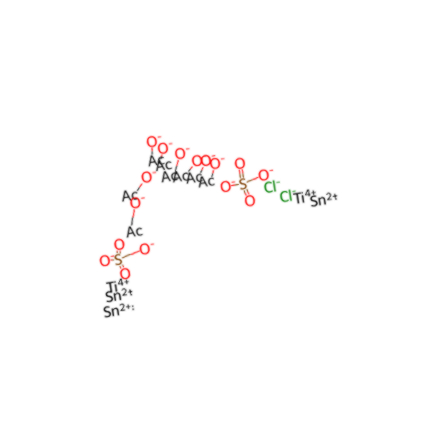 CC(=O)[O-].CC(=O)[O-].CC(=O)[O-].CC(=O)[O-].CC(=O)[O-].CC(=O)[O-].CC(=O)[O-].CC(=O)[O-].O=S(=O)([O-])[O-].O=S(=O)([O-])[O-].[Cl-].[Cl-].[Sn+2].[Sn+2].[Sn+2].[Ti+4].[Ti+4]